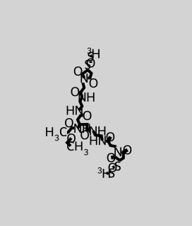 [3H]SOSC1CC(=O)N(CCC(=O)NCCNC(=O)CC(CC(=O)NCCNC(=O)CCN2C(=O)CC(SOS[3H])C2=O)NC(=O)C(C)OCC)C1=O